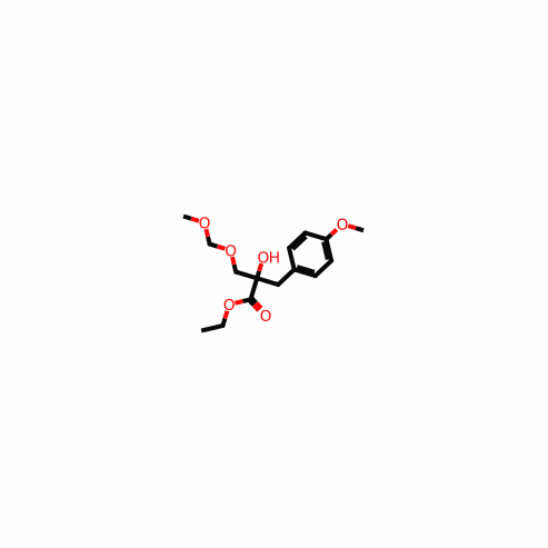 CCOC(=O)C(O)(COCOC)Cc1ccc(OC)cc1